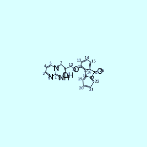 N=c1ncccn1CC(O)COc1cccc2c1-c1ccccc1C2=O